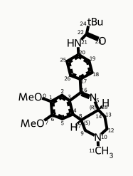 COc1cc2c(cc1OC)[C@H]1CN(C)CC[C@H]1N=C2c1ccc(NC(=O)C(C)(C)C)cc1